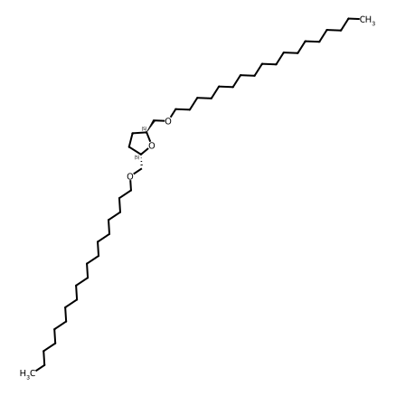 CCCCCCCCCCCCCCCCCCOC[C@@H]1CC[C@@H](COCCCCCCCCCCCCCCCCCC)O1